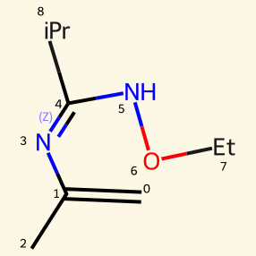 C=C(C)/N=C(\NOCC)C(C)C